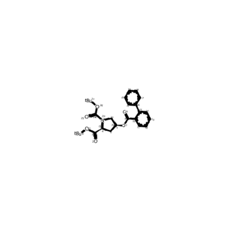 CC(C)(C)OC(=O)[C@@H]1C[C@H](OC(=O)c2ccccc2-c2ccccc2)CN1C(=O)OC(C)(C)C